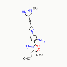 CNC(=O)C(CCC=O)N(N)C(=O)c1ccc(N2CC(C#C/C(C=N)=C/NC(C)(C)C)C2)cc1N